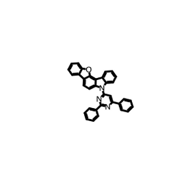 c1ccc(-c2cc(-n3c4ccccc4c4c5oc6ccccc6c5ccc43)nc(-c3ccccc3)n2)cc1